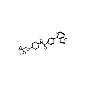 O=C(NC1CCC(OCC2(O)CC2)CC1)c1ccc(-c2nccc3occc23)cc1